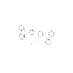 CC(=O)OCCCC1(C)c2cc(-n3c4ccccc4c4ccccc43)ccc2-c2ccc(-n3c4ccccc4c4ccccc43)cc21